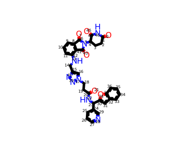 O=C1CCC(N2C(=O)c3cccc(NCc4cn(CCC(=O)NC(c5cccnc5)c5cc6ccccc6o5)nn4)c3C2=O)C(=O)N1